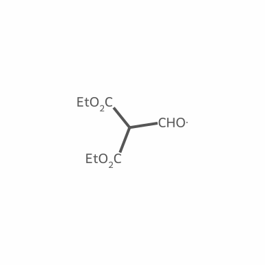 CCOC(=O)C([C]=O)C(=O)OCC